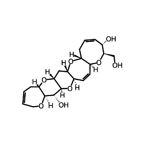 OC[C@H]1O[C@H]2C=C[C@H]3O[C@H]4[C@H](O)[C@H]5OCC=CC[C@@H]5O[C@@H]4C[C@@H]3O[C@@H]2C/C=C\[C@@H]1O